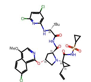 C=C[C@@H]1C[C@@]1(C(=O)NS(=O)(=O)C1CC1)N1C[C@H](Oc2ncc(OC)c3ccc(Cl)cc23)C[C@H]1C(=O)NC(=O)[C@H](Nc1cc(Cl)cc(Cl)n1)C(C)(C)C